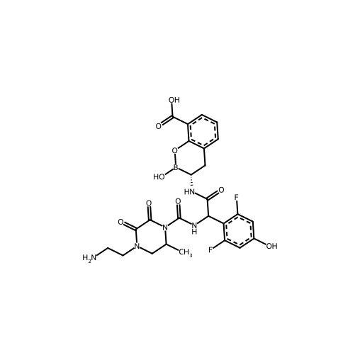 CC1CN(CCN)C(=O)C(=O)N1C(=O)NC(C(=O)N[C@H]1Cc2cccc(C(=O)O)c2OB1O)c1c(F)cc(O)cc1F